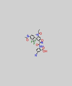 CCC(=O)N(C)c1cc2onc(C(=O)Nc3ccc(C#N)cc3C(=O)O)c2cc1-c1ccc(N(C)C(C)=O)cc1C(F)(F)F